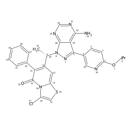 CC(C)Oc1ccc(-c2nn([C@@H](C)c3cc4scc(Cl)n4c(=O)c3-c3ccccc3)c3ncnc(N)c23)cn1